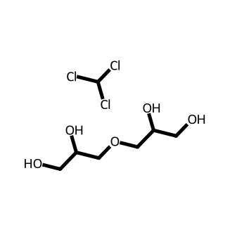 ClC(Cl)Cl.OCC(O)COCC(O)CO